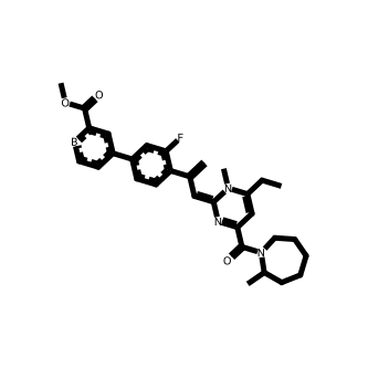 C=C(/C=C1/N=C(C(=O)N2CCCCCC2C)C=C(CC)N1C)c1ccc(-c2ccbc(C(=O)OC)c2)cc1F